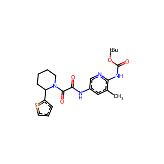 Cc1cc(NC(=O)C(=O)N2CCCCC2c2cccs2)cnc1NC(=O)OC(C)(C)C